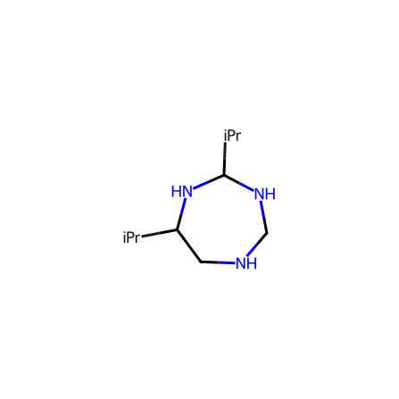 CC(C)C1CNCNC(C(C)C)N1